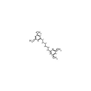 Cc1cc(C)cc(CCCCCCc2cc(C)cc(C)c2)c1